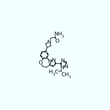 CC(C)n1ncnc1-c1cc2n(n1)-c1cc(C3CN(CC(N)=O)C3)ccc1OCC2